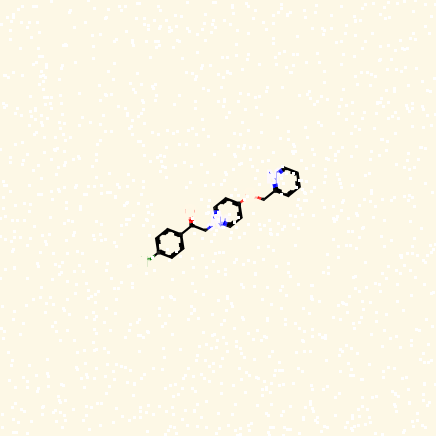 O=C(C[n+]1ccc(OCc2ccccn2)cc1)c1ccc(Cl)cc1